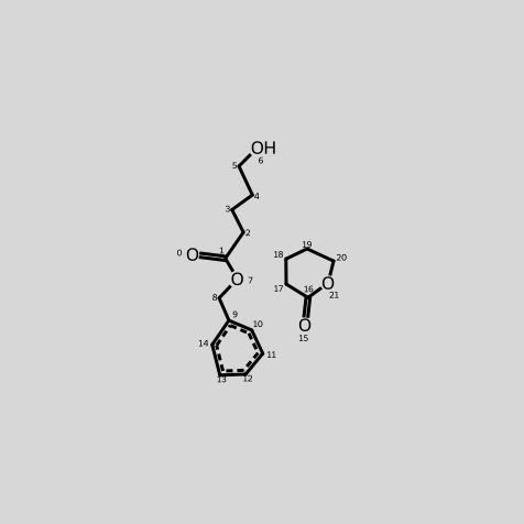 O=C(CCCCO)OCc1ccccc1.O=C1CCCCO1